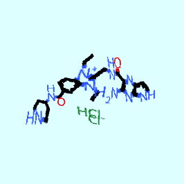 CCn1c(CNC(=O)c2nc3cc[nH]c3nc2N)[n+](CC)c2ccc(C(=O)NC3CCNCC3)cc21.Cl.[Cl-]